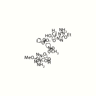 CCOc1nc(N)nc2c1ncn2[C@@H]1O[C@H](COP(=O)(Oc2ccccc2)C2CCN(P(C)(=O)OC[C@H]3O[C@@H](n4cnc5c(OC)nc(N)nc54)[C@](C)(O)[C@@H]3O)CC2)[C@@H](O)[C@@]1(C)F